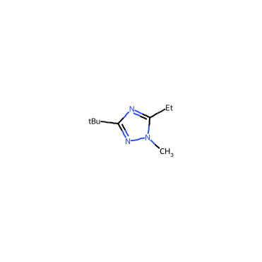 CCc1nc(C(C)(C)C)nn1C